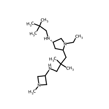 CCN1C[C@@H](NCC(C)(C)C)CC1CC(C)(C)CNC1CN(C)C1